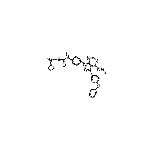 CN(C(=O)/C=C/CN(C)C1CCC1)c1ccc(-n2nc(-c3ccc(Oc4ccccc4)cc3)c3c(N)ncnc32)cc1